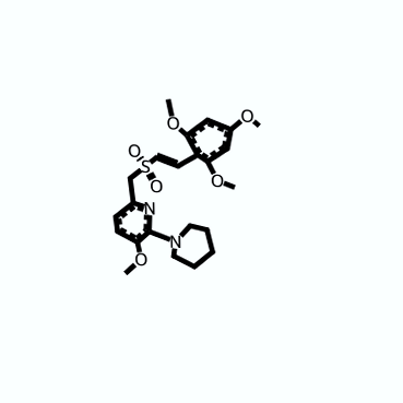 COc1cc(OC)c(C=CS(=O)(=O)Cc2ccc(OC)c(N3CCCCC3)n2)c(OC)c1